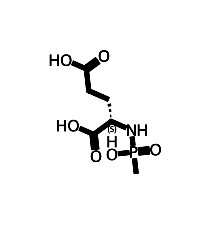 CP(=O)(O)N[C@@H](CCC(=O)O)C(=O)O